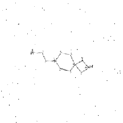 CC(C)CCN1CCC2(CC1)CNC2